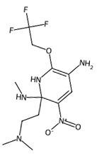 CNC1(CCN(C)C)NC(OCC(F)(F)F)=C(N)C=C1[N+](=O)[O-]